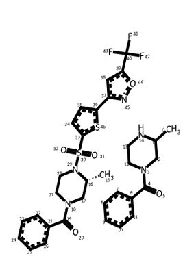 CC1CN(C(=O)c2ccccc2)CCN1.C[C@@H]1CN(C(=O)c2ccccc2)CCN1S(=O)(=O)c1ccc(-c2cc(C(F)(F)F)on2)s1